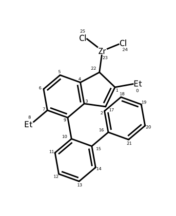 CCC1=Cc2c(ccc(CC)c2-c2ccccc2-c2ccccc2)[CH]1[Zr]([Cl])[Cl]